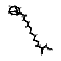 CC(C)(C)OC(=O)NCCOCCOCCNC12CC3CC(CC1C3)C2